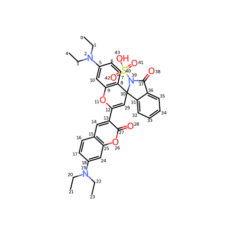 CCN(CC)c1ccc2c(c1)OC(c1cc3ccc(N(CC)CC)cc3oc1=O)=CC21c2ccccc2C(=O)N1S(=O)(=O)O